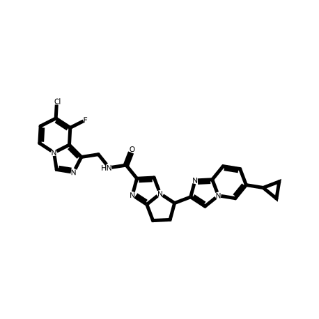 O=C(NCc1ncn2ccc(Cl)c(F)c12)c1cn2c(n1)CCC2c1cn2cc(C3CC3)ccc2n1